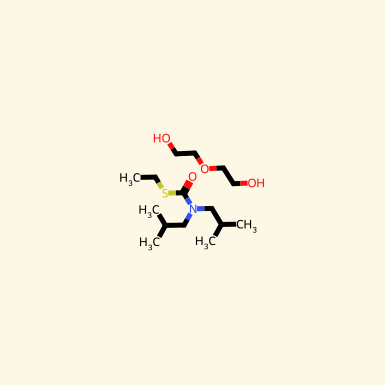 CCSC(=O)N(CC(C)C)CC(C)C.OCCOCCO